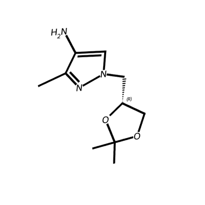 Cc1nn(C[C@@H]2COC(C)(C)O2)cc1N